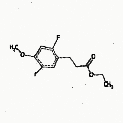 CCOC(=O)CCc1cc(I)c(OC)cc1F